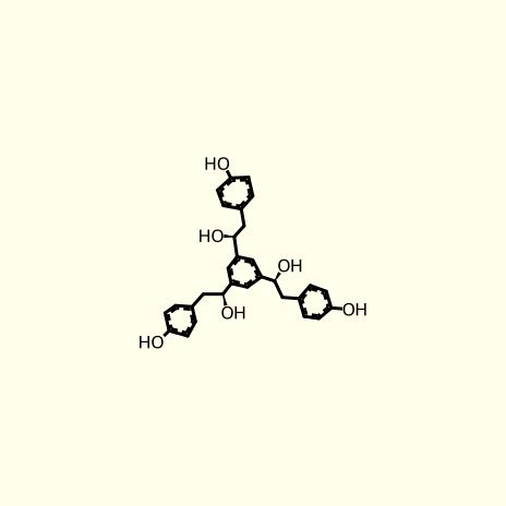 Oc1ccc(C[C@H](O)c2cc([C@@H](O)Cc3ccc(O)cc3)cc([C@@H](O)Cc3ccc(O)cc3)c2)cc1